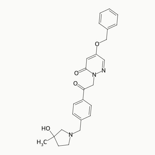 CC1(O)CCN(Cc2ccc(C(=O)Cn3ncc(OCc4ccccc4)cc3=O)cc2)C1